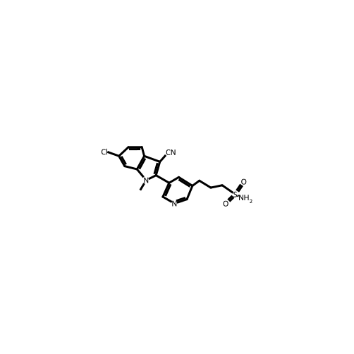 Cn1c(-c2cncc(CCCS(N)(=O)=O)c2)c(C#N)c2ccc(Cl)cc21